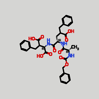 C[C@H](NC(=O)OCc1ccccc1)C(=O)N[C@@H](CC(Cc1ccccc1)C(=O)O)C(=O)N[C@H](C(=O)O)C(Cc1ccccc1)C(=O)O